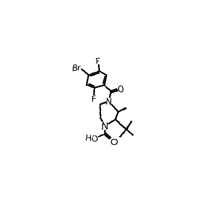 CC1C(C(C)(C)C)N(C(=O)O)CCN1C(=O)c1cc(F)c(Br)cc1F